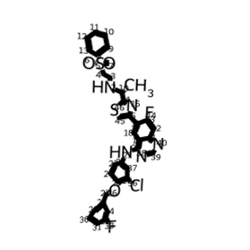 CC(NCCS(=O)(=O)c1ccccc1)c1nc(-c2cc3c(Nc4ccc(OCc5cccc(F)c5)c(Cl)c4)ncnc3cc2F)cs1